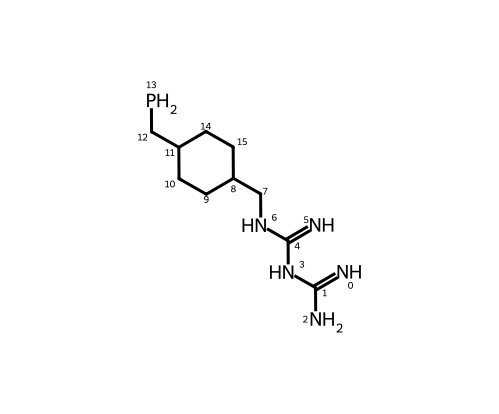 N=C(N)NC(=N)NCC1CCC(CP)CC1